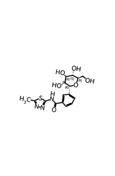 Cc1nnc(NC(=O)c2cccc([C@H]3O[C@H](CO)[C@@H](O)[C@H](O)[C@H]3O)c2)s1